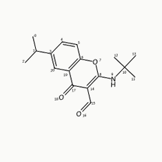 CC(C)c1ccc2oc(NC(C)(C)C)c(C=O)c(=O)c2c1